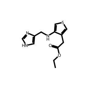 CCOC(=O)Cc1cscc1NCc1c[nH]cn1